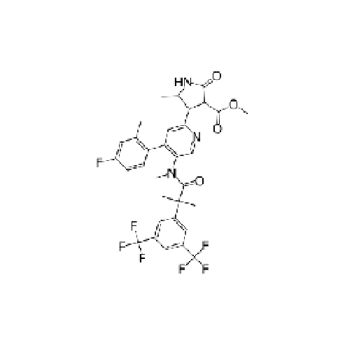 COC(=O)C1C(=O)NC(C)C1c1cc(-c2ccc(F)cc2C)c(N(C)C(=O)C(C)(C)c2cc(C(F)(F)F)cc(C(F)(F)F)c2)cn1